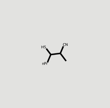 CCCC(S)C(C)C#N